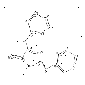 O=C1SC(Cc2ccccc2)C=C1Cc1ccccc1